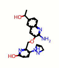 CC(O)c1ccc2nc(N)c(OCc3nc(O)ccc3N3C=CCN3)cc2c1